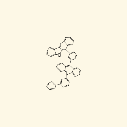 c1ccc(-c2cccc(-c3c4ccccc4c(-c4cccc(-c5c6ccccc6cc6c5oc5ccccc56)c4)c4ccccc34)c2)cc1